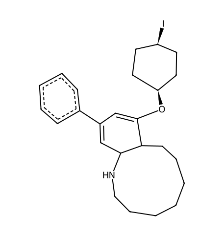 I[C@H]1CC[C@@H](OC2=CC(c3ccccc3)=CC3NCCCCCCCC23)CC1